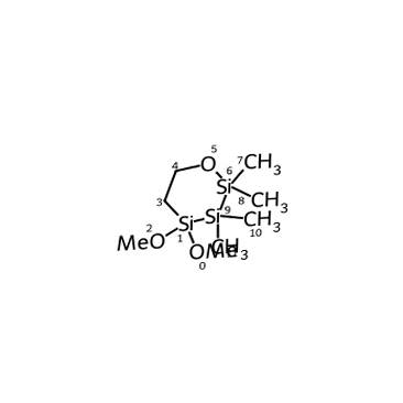 CO[Si]1(OC)CCO[Si](C)(C)[Si]1(C)C